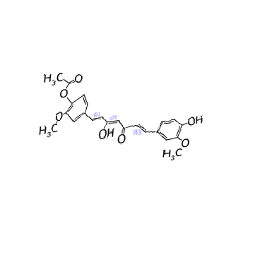 COc1cc(/C=C/C(=O)/C=C(O)/C=C/c2ccc(OC(C)=O)c(OC)c2)ccc1O